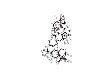 C=C1C(=O)[C@]23[C@H](O)[C@H]1CC[C@H]2[C@@]12CO[C@]3(O)[C@@H](O)[C@@H]1C(C)(C)CC1=C2O[C@]2(CC1)CC(C)(C)[C@H]1[C@H](O)[C@@]3(O)O[C@@H](C)[C@]1(C2=O)[C@@H]1CC[C@H]2C(=C)C(=O)[C@]13[C@@H]2O